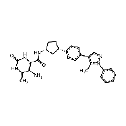 C=C1NC(=O)NC(C(=O)N[C@@H]2CC[C@H](c3ccc(-c4cnn(-c5ccccc5)c4C)cc3)C2)=C1N